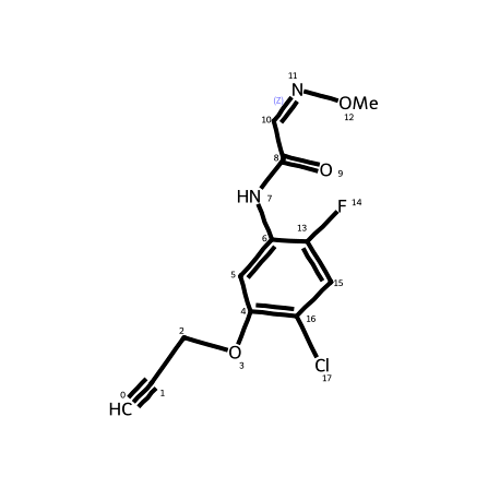 C#CCOc1cc(NC(=O)/C=N\OC)c(F)cc1Cl